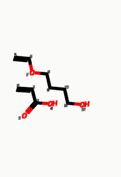 C=CC(=O)O.C=COCCCCO